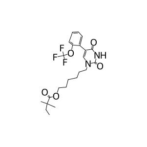 CCC(C)(C)C(=O)OCCCCCCn1cc(-c2ccccc2OC(F)(F)F)c(=O)[nH]c1=O